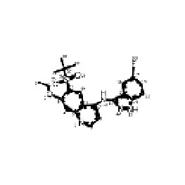 CCOc1cc2nccc(Nc3n[nH]c4ccc(F)cc34)c2cc1S(=O)(=O)C(C)(C)C